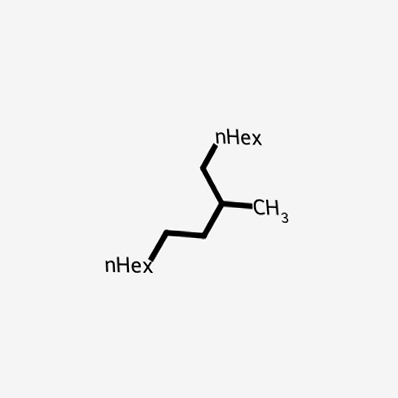 C[CH]CCCCCCC(C)CCCCCCC